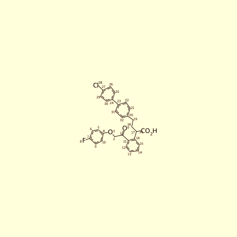 O=C(COc1ccc(F)cc1)c1ccccc1C(CCc1ccc(-c2ccc(Cl)cc2)cc1)C(=O)O